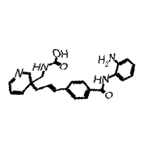 Nc1ccccc1NC(=O)c1ccc(C=CCC2(CNC(=O)O)C=CC=NC2)cc1